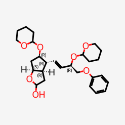 OC1C[C@@H]2[C@@H](C=C[C@H](COc3ccccc3)OC3CCCCO3)[C@H](OC3CCCCO3)C[C@@H]2O1